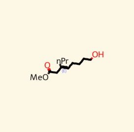 CCC/C(=C\CCCCO)CC(=O)OC